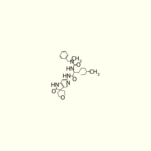 CN(Cc1ccccc1)C(=O)N[C@H](C(=O)Nc1cc2c(cn1)C1(CCOCC1)C(=O)N2)[C@H]1CC[C@H](C)CC1